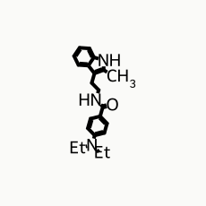 CCN(CC)c1ccc(C(=O)NCCc2c(C)[nH]c3ccccc23)cc1